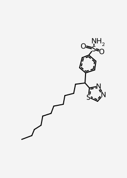 CCCCCCCCCCCC(c1ccc(S(N)(=O)=O)cc1)c1nncs1